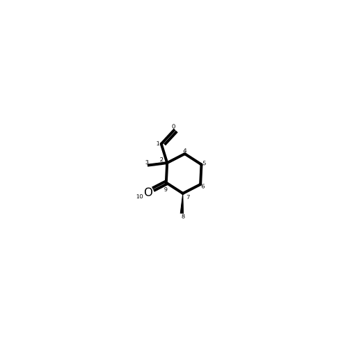 C=CC1(C)CCC[C@@H](C)C1=O